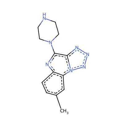 Cc1ccc2nc(N3CCNCC3)c3nnnn3c2c1